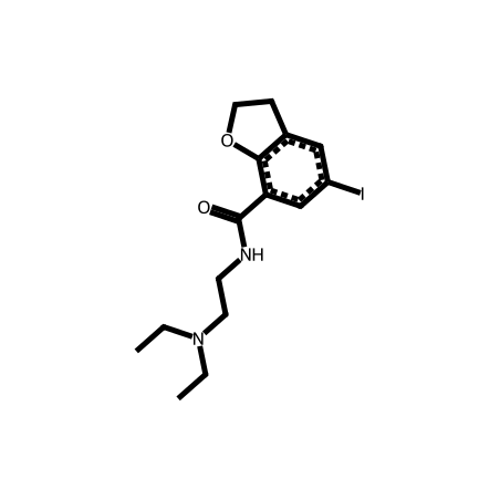 CCN(CC)CCNC(=O)c1cc(I)cc2c1OCC2